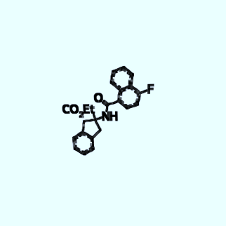 CCOC(=O)C1(NC(=O)c2ccc(F)c3ccccc23)Cc2ccccc2C1